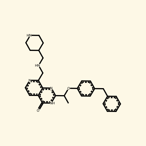 CC(Oc1ccc(Cc2ccccc2)cc1)c1nc2c(CNCC3CCNCC3)nccc2c(=O)[nH]1